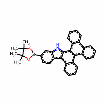 CC1(C)OB(c2ccc3c(c2)[nH]c2c3c3ccccc3c3c4ccccc4c4ccccc4c23)OC1(C)C